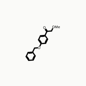 COCC(=O)c1ccc(OCc2ccccc2)cc1